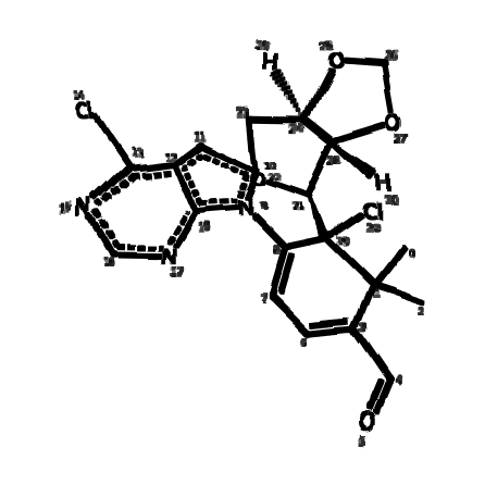 CC1(C)C(C=O)=CC=C(n2ccc3c(Cl)ncnc32)C1(Cl)[C@H]1OC[C@H]2OCO[C@@H]21